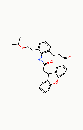 CC(C)OCCc1cccc(CCC=O)c1NC(=O)CC1c2ccccc2Oc2ccccc21